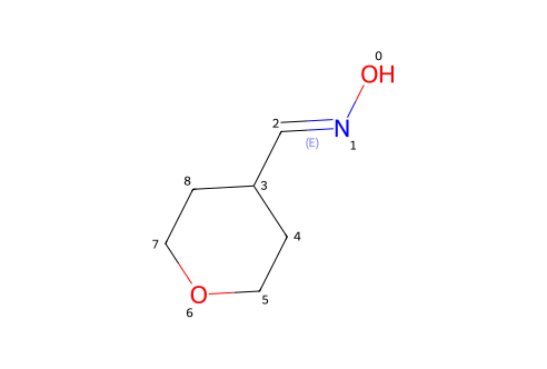 O/N=C/C1CCOCC1